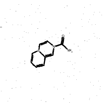 NC(=O)N1C=CN2C=CC=CC2=C1